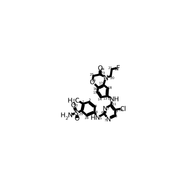 Cc1ccc(Nc2ncc(Cl)c(Nc3ccc4c(c3)N(CCF)C(=O)CO4)n2)cc1S(N)(=O)=O